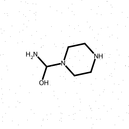 NC(O)N1CCNCC1